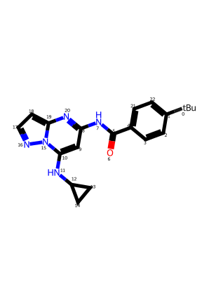 CC(C)(C)c1ccc(C(=O)Nc2cc(NC3CC3)n3nccc3n2)cc1